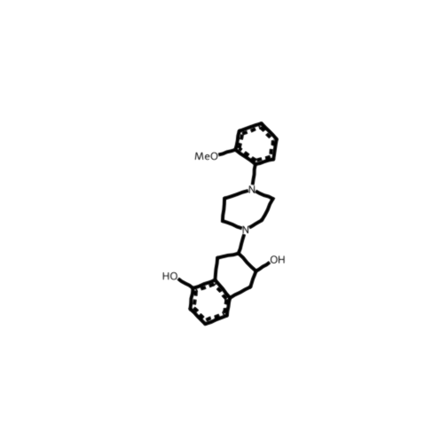 COc1ccccc1N1CCN(C2Cc3c(O)cccc3CC2O)CC1